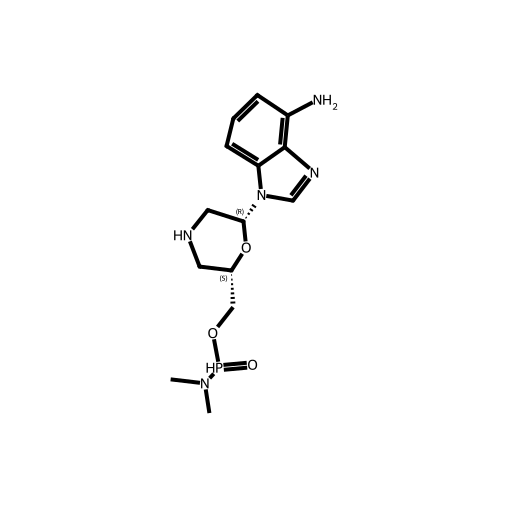 CN(C)[PH](=O)OC[C@@H]1CNC[C@H](n2cnc3c(N)cccc32)O1